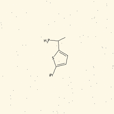 CC(C)c1ccc(C(C)P)s1